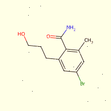 Cc1cc(Br)cc(CCCO)c1C(N)=O